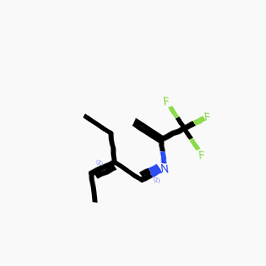 C=C(/N=C\C(=C/C)CC)C(F)(F)F